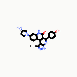 Cc1n[nH]c2nc(-c3ccc(O)cc3)c3c(=O)[nH]c4cc(N5CC[C@@H](N)C5)ccc4c3c12